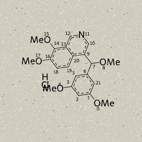 COc1cc(OC)cc(C(OC)c2cncc3c(OC)c(OC)ccc23)c1.Cl